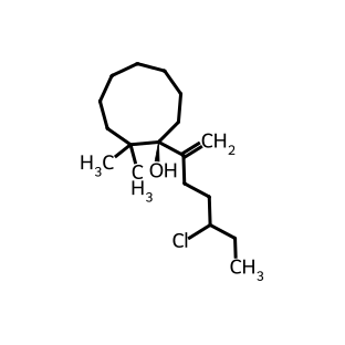 C=C(CCC(Cl)CC)[C@@]1(O)CCCCCCCC1(C)C